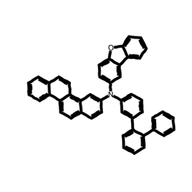 c1ccc(-c2ccccc2-c2cccc(N(c3ccc4ccc5c6ccccc6ccc5c4c3)c3ccc4oc5ccccc5c4c3)c2)cc1